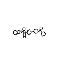 O=C(Nc1ccc(C2=CCN(C(=O)c3ccccc3)CC2)nc1)N1Cc2ccccc2C1